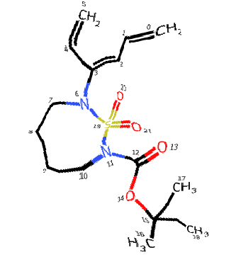 C=C/C=C(\C=C)N1CCCCN(C(=O)OC(C)(C)C)S1(=O)=O